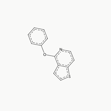 c1ccc(Oc2nccc3sccc23)cc1